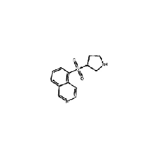 O=S(=O)(c1cccc2cnccc12)C1CCNC1